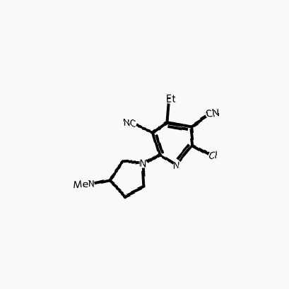 CCc1c(C#N)c(Cl)nc(N2CCC(NC)C2)c1C#N